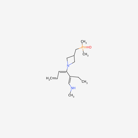 C=C/C=C(\C(=C\NC)CC)N1CC(CP(C)(C)=O)C1